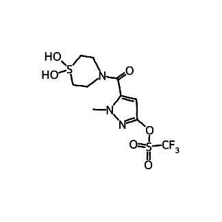 Cn1nc(OS(=O)(=O)C(F)(F)F)cc1C(=O)N1CCS(O)(O)CC1